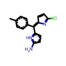 Cc1ccc(/C(=C2\C=CC(Cl)=N2)c2ccc(N)[nH]2)cc1